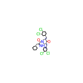 N[C@@H](Cc1ccccc1)C(=O)N1C/C(=C\c2ccc(Cl)c(Cl)c2)C(=O)/C(=C/c2ccc(Cl)c(Cl)c2)C1